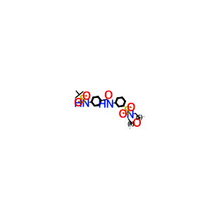 C[C@@H]1CN(S(=O)(=O)c2cccc(NC(=O)c3ccc(NS(=O)(=O)C(C)(C)C)cc3)c2)C[C@H](C)O1